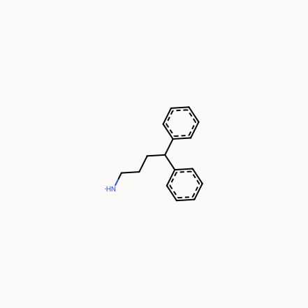 [NH]CCCC(c1ccccc1)c1ccccc1